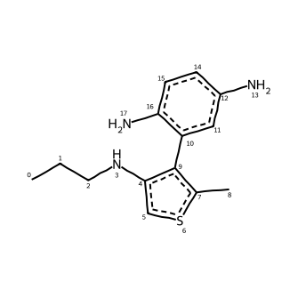 CCCNc1csc(C)c1-c1cc(N)ccc1N